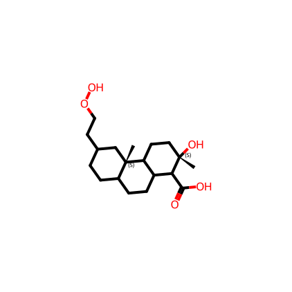 C[C@]12CC(CCOO)CCC1CCC1C2CC[C@](C)(O)C1C(=O)O